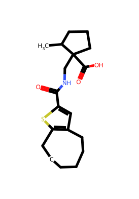 CC1CCCC1(CNC(=O)c1cc2c(s1)CCCCCC2)C(=O)O